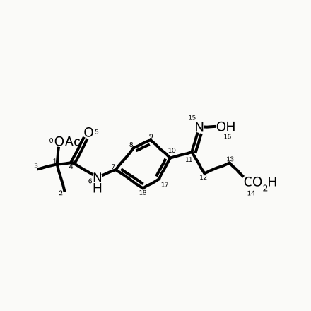 CC(=O)OC(C)(C)C(=O)Nc1ccc(C(CCC(=O)O)=NO)cc1